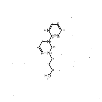 OCCCN1C=CCN(c2ccccn2)C1